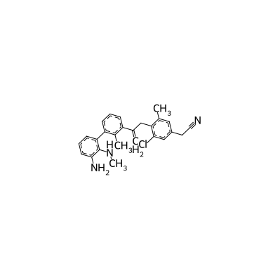 C=C(Cc1c(C)cc(CC#N)cc1Cl)c1cccc(-c2cccc(N)c2NC)c1C